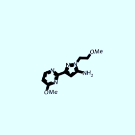 COCCn1nc(-c2nccc(OC)n2)cc1N